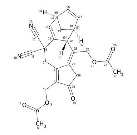 CC(=O)OCC1=C2CC(C#N)(C#N)C3=C[C@H]4C=C[C@H](C4)[C@@H]3C(COC(C)=O)=C2CC1=O